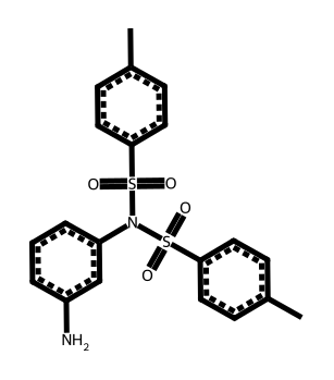 Cc1ccc(S(=O)(=O)N(c2cccc(N)c2)S(=O)(=O)c2ccc(C)cc2)cc1